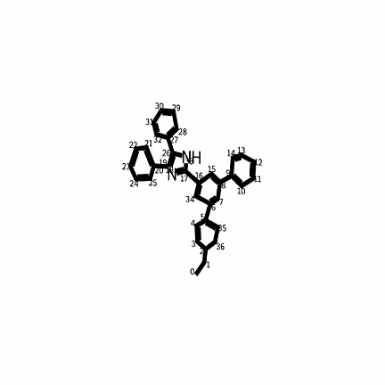 CCC1C=CC(c2cc(-c3ccccc3)cc(-c3nc(-c4ccccc4)c(-c4ccccc4)[nH]3)c2)=CC1